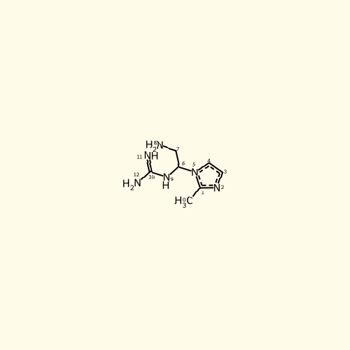 Cc1nccn1C(CN)NC(=N)N